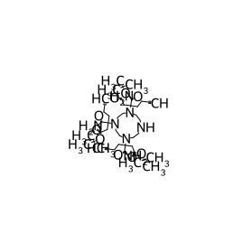 C#CCCC(CC(=O)OC(C)(C)C)(C(N)=O)N1CCNCCN(C(CCC#C)(CC(=O)OC(C)(C)C)C(N)=O)CCN(C(CCC#C)(CC(=O)OC(C)(C)C)C(N)=O)CC1